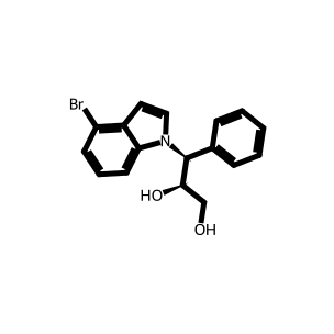 OC[C@@H](O)[C@H](c1ccccc1)n1ccc2c(Br)cccc21